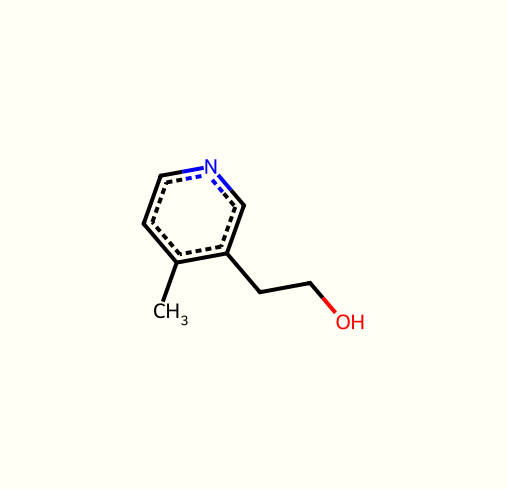 Cc1ccncc1CCO